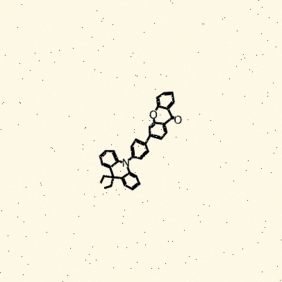 CCC1(CC)c2ccccc2N(c2ccc(-c3ccc4c(=O)c5ccccc5oc4c3)cc2)c2ccccc21